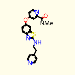 CNC(=O)c1cc(Oc2ccc3nc(NCCc4ccncc4)sc3c2)ccn1